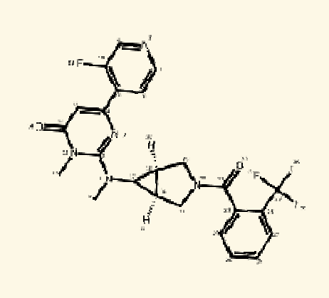 CN(c1nc(-c2ccncc2F)cc(=O)n1C)C1[C@H]2CN(C(=O)c3ccccc3C(F)(F)F)C[C@@H]12